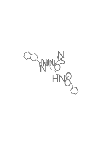 O=C(NCCCC[C@H](NC(=O)c1cncs1)c1ncc(-c2ccc3ccccc3c2)[nH]1)OCc1ccccc1